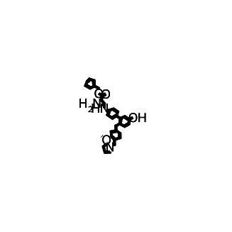 COc1cc(Cc2ccc(O)cc2-c2ccc(NCC(N)C(=O)OCc3ccccc3)cc2)ccc1CN1CCCC1